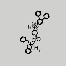 C[C@@H](COC(=O)N1CCC(NS(=O)(=O)c2ccc(-c3ccccc3)c(-c3ccccc3)c2)CC1)N(Cc1ccccc1)Cc1ccccc1